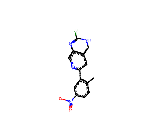 Cc1ccc([N+](=O)[O-])cc1-c1cc2c(cn1)N=C(Cl)NC2